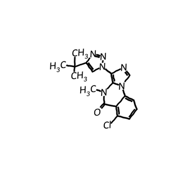 Cn1c(=O)c2c(Cl)cccc2n2cnc(-n3cc(C(C)(C)C)nn3)c12